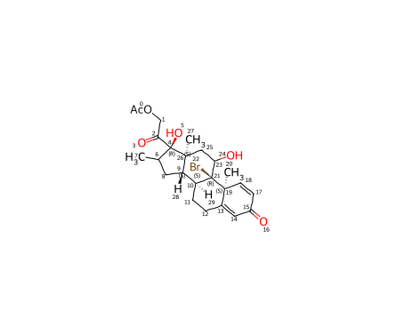 CC(=O)OCC(=O)[C@@]1(O)C(C)C[C@H]2[C@@H]3CCC4=CC(=O)C=C[C@]4(C)[C@@]3(Br)C(O)C[C@@]21C